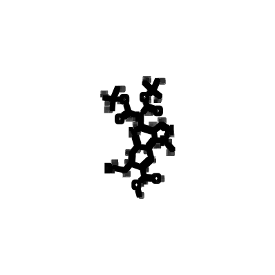 COC(=O)c1cc2c(cc1CBr)nc(N(C(=O)OC(C)(C)C)C(=O)OC(C)(C)C)c1cnn(C)c12